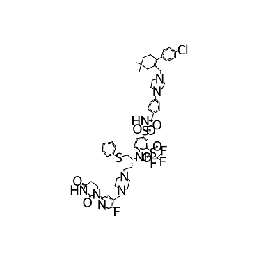 CC1(C)CCC(c2ccc(Cl)cc2)=C(CN2CCN(c3ccc(C(=O)NS(=O)(=O)c4ccc(N[C@H](CCN5CCN(Cc6cc(N7CCC(=O)NC7=O)ncc6F)CC5)CSc5ccccc5)c(S(=O)(=O)C(F)(F)F)c4)cc3)CC2)C1